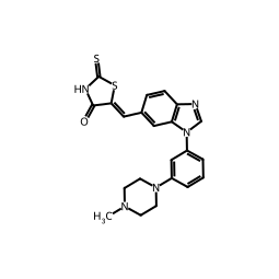 CN1CCN(c2cccc(-n3cnc4ccc(/C=C5\SC(=S)NC5=O)cc43)c2)CC1